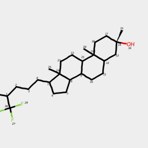 CC(CCCC1CCC2C3CCC4C[C@@](C)(O)CCC4(C)C3CCC12C)C(F)(F)F